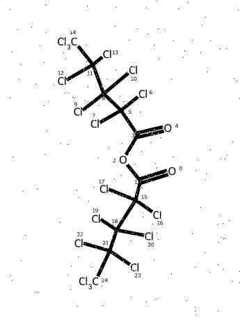 O=C(OC(=O)C(Cl)(Cl)C(Cl)(Cl)C(Cl)(Cl)C(Cl)(Cl)Cl)C(Cl)(Cl)C(Cl)(Cl)C(Cl)(Cl)C(Cl)(Cl)Cl